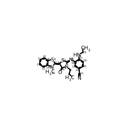 CCCN1C(=O)/C(=C2/Sc3ccccc3N2C)S/C1=N/c1cc(C#N)ccc1NCC